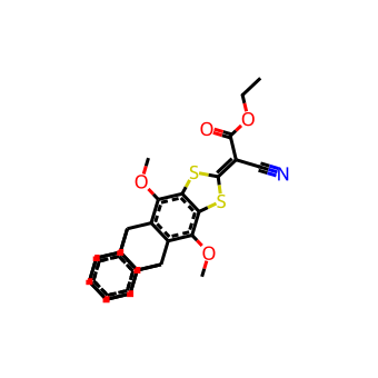 CCOC(=O)C(C#N)=C1Sc2c(OC)c3c(c(OC)c2S1)C1c2ccccc2C3c2ccccc21